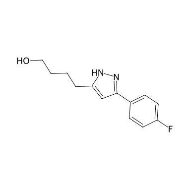 OCCCCc1cc(-c2ccc(F)cc2)n[nH]1